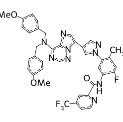 COc1ccc(CN(Cc2ccc(OC)cc2)c2ncnn3c(-c4cnn(-c5cc(NC(=O)c6cc(C(F)(F)F)ccn6)c(F)cc5C)c4)cnc23)cc1